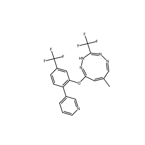 Cc1cnnc(C(F)(F)F)[nH]nc(Oc2cc(C(F)(F)F)ccc2-c2cccnc2)c1